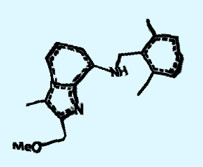 COCc1nc2c(NCc3c(C)cccc3C)cccn2c1C